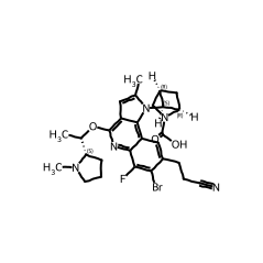 Cc1cc2c(OC(C)[C@@H]3CCCN3C)nc3c(F)c(Br)c(CCC#N)cc3c2n1[C@H]1[C@@H]2C[C@H]1N(C(=O)O)C2